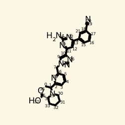 CC(c1cccc(Cn2cc(-c3cc(-c4cccc(C#N)c4)nc(N)n3)nn2)n1)N1CCCC[C@@H]1C(=O)O